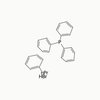 Br.CCCc1ccccc1.c1ccc(P(c2ccccc2)c2ccccc2)cc1